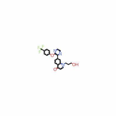 O=c1ccn(CCCO)c2cc(-c3nccnc3Oc3ccc(C(F)(F)F)cc3)ccc12